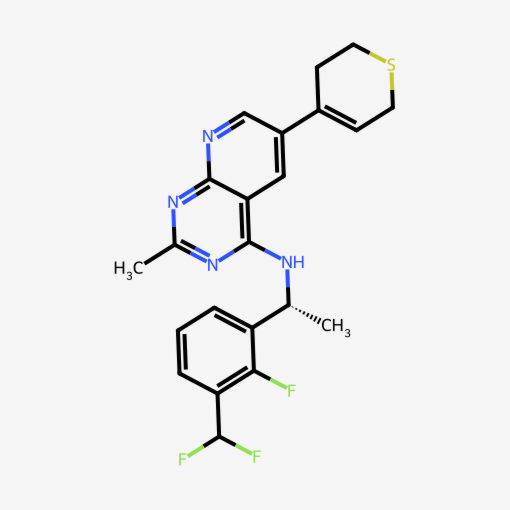 Cc1nc(N[C@H](C)c2cccc(C(F)F)c2F)c2cc(C3=CCSCC3)cnc2n1